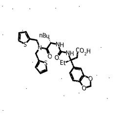 CCCC[C@H](NC(=O)N[C@](CC)(CC(=O)O)c1ccc2c(c1)OCO2)C(=O)N(Cc1cccs1)Cc1cccs1